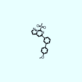 COc1ccc(-c2cccc(-c3cc4ccnn4c(S(C)(=O)=O)n3)c2)cc1